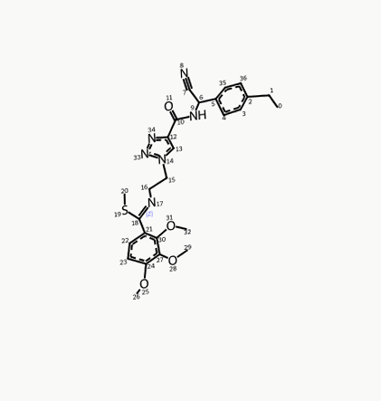 CCc1ccc(C(C#N)NC(=O)c2cn(CC/N=C(\SC)c3ccc(OC)c(OC)c3OC)nn2)cc1